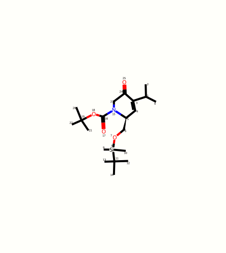 CC(C)C1=C[C@@H](CO[Si](C)(C)C(C)(C)C)N(C(=O)OC(C)(C)C)CC1=O